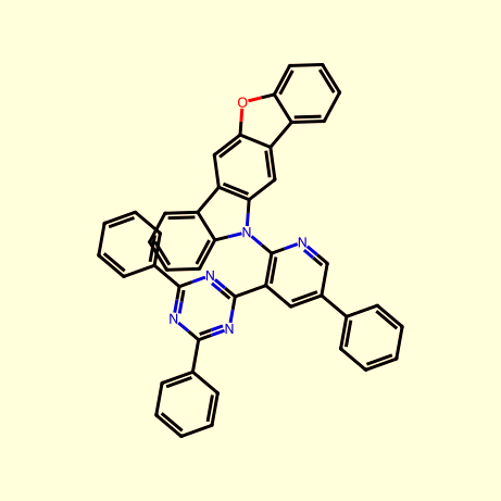 c1ccc(-c2cnc(-n3c4ccccc4c4cc5oc6ccccc6c5cc43)c(-c3nc(-c4ccccc4)nc(-c4ccccc4)n3)c2)cc1